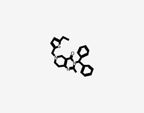 CCc1ccc(CN2CCc3nc(C)n(C(c4ccccc4)c4ccccc4)c(=O)c3C2)s1